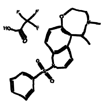 CC1c2c(ccc3c2ccn3S(=O)(=O)c2ccccc2)OCCN1C.O=C(O)C(F)(F)F